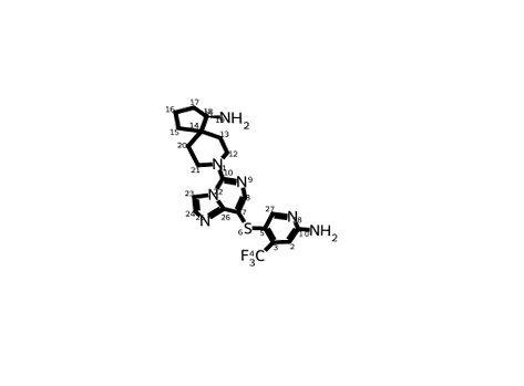 Nc1cc(C(F)(F)F)c(Sc2cnc(N3CCC4(CCC[C@H]4N)CC3)n3ccnc23)cn1